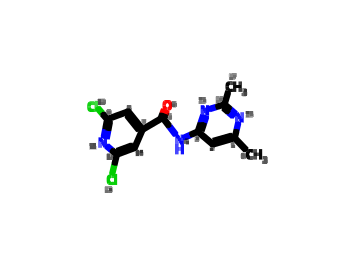 Cc1cc(NC(=O)c2cc(Cl)nc(Cl)c2)nc(C)n1